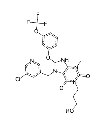 Cn1c2c(c(=O)n(CCCO)c1=O)N(Cc1cncc(Cl)c1)C(Oc1cccc(OC(F)(F)F)c1)N2